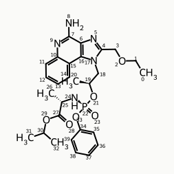 CCOCc1nc2c(N)nc3ccccc3c2n1C[C@H](C)O[P@@](=O)(N[C@@H](C)C(=O)OC(C)C)Oc1ccccc1